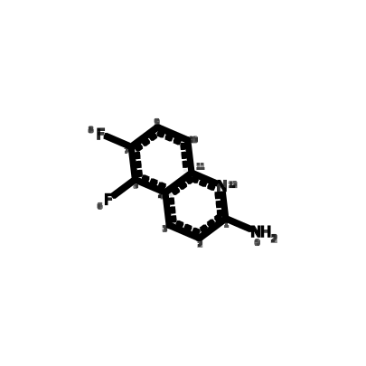 Nc1ccc2c(F)c(F)ccc2n1